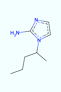 CCCC(C)n1ccnc1N